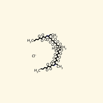 CCCCC(=O)C(=O)C(=O)C(=O)/C=C(/CC)C(=O)C(=O)C(=O)C(=O)C(=O)C(=O)C(=O)C(=O)[N+](C)(C)C(=O)C(=O)C(=O)C(=O)C(=O)C(=O)C(=O)C(=O)/C(=C\C(=O)C(=O)C(=O)C(=O)CCCC)CC.[Cl-]